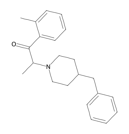 Cc1ccccc1C(=O)C(C)N1CCC(Cc2ccccc2)CC1